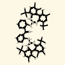 Cc1cc(C(C)(C)C)c2op(Oc3ccccc3C(=O)c3ccccc3Op3oc4c(C(C)(C)C)cc(C)c(C)c4c4c(C)c(C)cc(C(C)(C)C)c4o3)oc3c(C(C)(C)C)cc(C)c(C)c3c2c1C